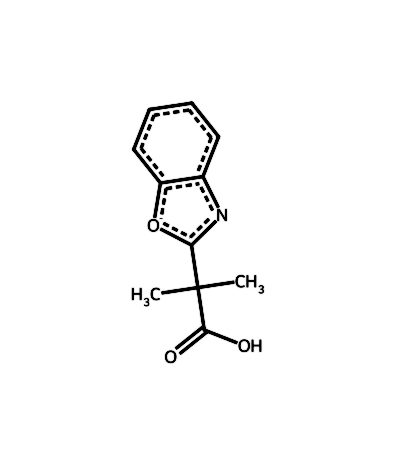 CC(C)(C(=O)O)c1nc2ccccc2o1